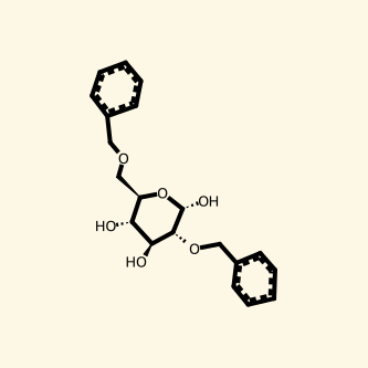 O[C@H]1[C@H](O)[C@@H](COCc2ccccc2)O[C@H](O)[C@@H]1OCc1ccccc1